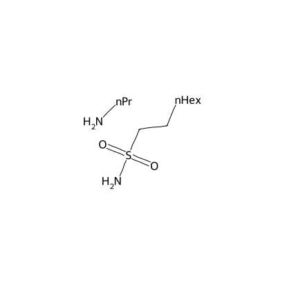 CCCCCCCCS(N)(=O)=O.CCCN